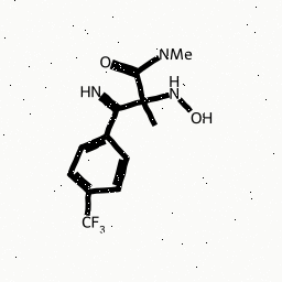 CNC(=O)C(C)(NO)C(=N)c1ccc(C(F)(F)F)cc1